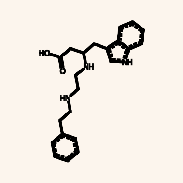 O=C(O)CC(Cc1c[nH]c2ccccc12)NCCNCCc1ccccc1